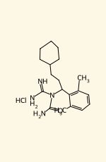 Cc1cccc(C)c1C(CCC1CCCCC1)N(C(=N)N)C(N)=O.Cl